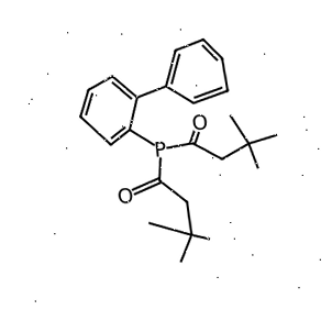 CC(C)(C)CC(=O)P(C(=O)CC(C)(C)C)c1ccccc1-c1ccccc1